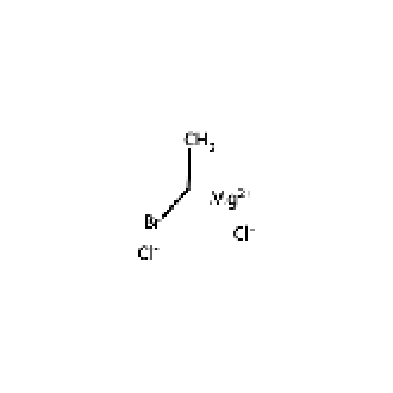 CCBr.[Cl-].[Cl-].[Mg+2]